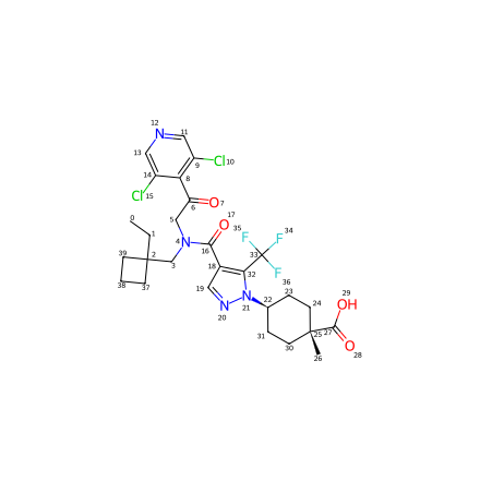 CCC1(CN(CC(=O)c2c(Cl)cncc2Cl)C(=O)c2cnn([C@H]3CC[C@](C)(C(=O)O)CC3)c2C(F)(F)F)CCC1